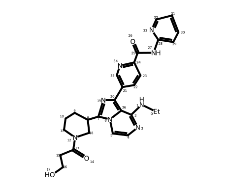 CCNc1nccn2c(C3CCCN(C(=O)CCO)C3)nc(-c3ccc(C(=O)Nc4ccccn4)nc3)c12